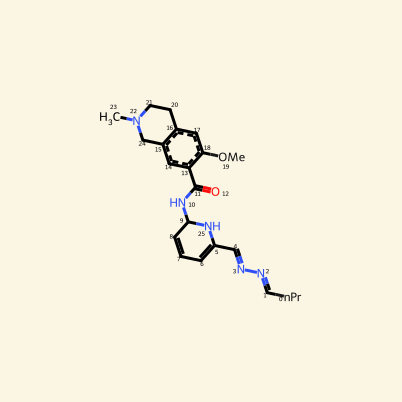 CCC/C=N/N=C/C1=CC=CC(NC(=O)c2cc3c(cc2OC)CCN(C)C3)N1